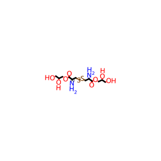 NC(CSSC[C@H](N)C(=O)OCC(O)CO)C(=O)OCC(O)CO